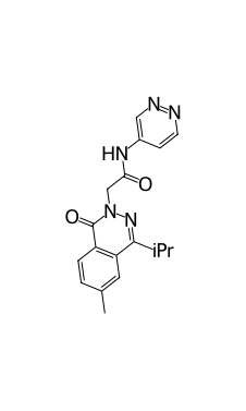 Cc1ccc2c(=O)n(CC(=O)Nc3ccnnc3)nc(C(C)C)c2c1